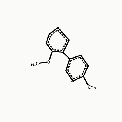 COc1ccccc1-c1c[c]c(C)cc1